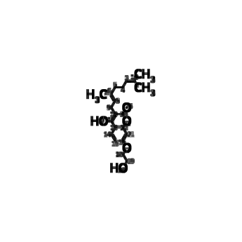 CC(C)=CCC/C(C)=C/Cc1c(O)c2ccc(OCCO)cc2oc1=O